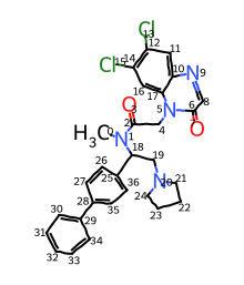 CN(C(=O)Cn1c(=O)cnc2cc(Cl)c(Cl)cc21)C(CN1CCCC1)c1ccc(-c2ccccc2)cc1